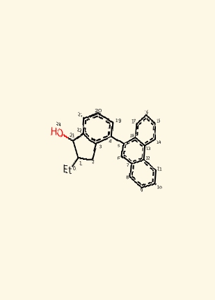 CCC1Cc2c(-c3cc4ccccc4c4ccccc34)cccc2C1O